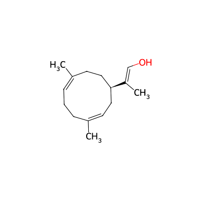 CC(=CO)[C@H]1C/C=C(/C)CC/C=C(/C)CC1